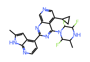 Cc1cc2c(-c3nc(N4C(F)C(C)NC(F)C4F)c4c(C5CC5)cncc4n3)ccnc2[nH]1